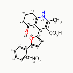 CC1=C(C(=O)O)C(c2ccc(-c3ccccc3[N+](=O)[O-])o2)C2=C(CCCC2=O)N1